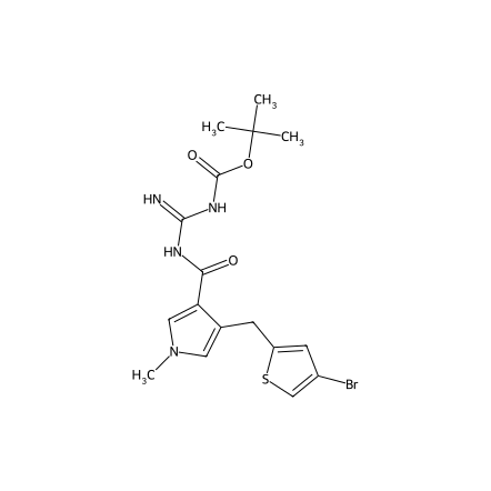 Cn1cc(Cc2cc(Br)cs2)c(C(=O)NC(=N)NC(=O)OC(C)(C)C)c1